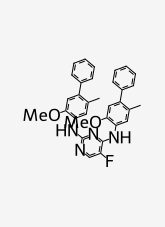 COc1cc(-c2ccccc2)c(C)cc1Nc1ncc(F)c(Nc2cc(C)c(-c3ccccc3)cc2OC)n1